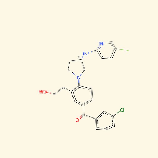 O=C(c1cccc(Cl)c1)c1ccc(N2CC[C@H](Nc3ccc(F)cn3)C2)c(CCO)c1